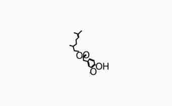 COc1cc(CC(=O)OCCC(C)CCC=C(C)C)ccc1O